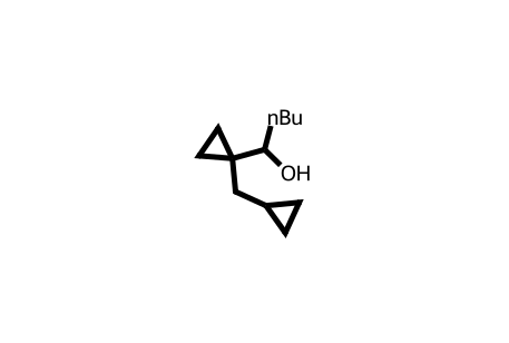 CCCCC(O)C1(CC2CC2)CC1